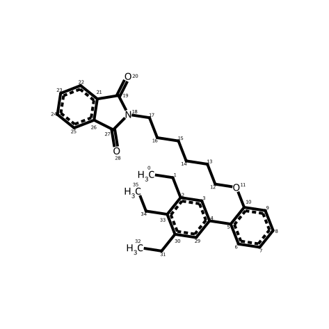 CCc1cc(-c2ccccc2OCCCCCCN2C(=O)c3ccccc3C2=O)cc(CC)c1CC